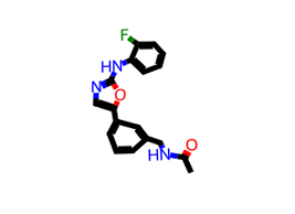 CC(=O)NCc1cccc(-c2cnc(Nc3ccccc3F)o2)c1